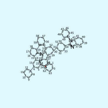 c1ccc(-c2cc(-c3ccccc3)cc(-c3cccc4c3-n3c5ccccc5c5cc(-c6ccc(-c7nc8ccccc8n7-c7ccccc7)cc6)cc(c53)-c3ccccc3-4)c2)cc1